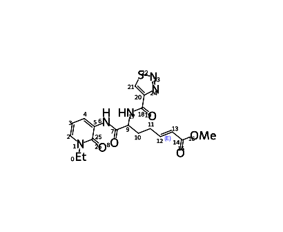 CCn1cccc(NC(=O)C(CC/C=C/C(=O)OC)NC(=O)c2csnn2)c1=O